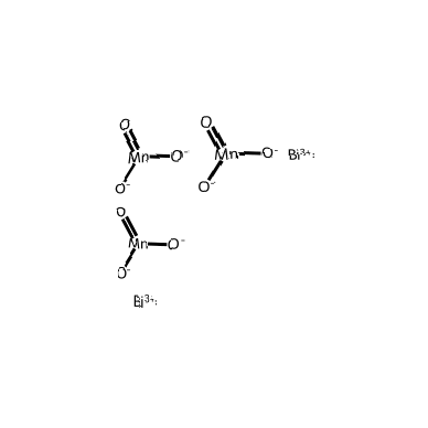 [Bi+3].[Bi+3].[O]=[Mn]([O-])[O-].[O]=[Mn]([O-])[O-].[O]=[Mn]([O-])[O-]